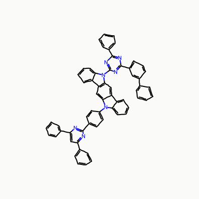 c1ccc(-c2cccc(-c3nc(-c4ccccc4)nc(-n4c5ccccc5c5cc6c(cc54)c4ccccc4n6-c4ccc(-c5nc(-c6ccccc6)cc(-c6ccccc6)n5)cc4)n3)c2)cc1